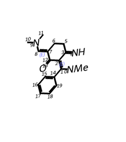 CN/C(=C1\C(=N)CC/C(=C\N(C)C)C1=O)c1ccccc1